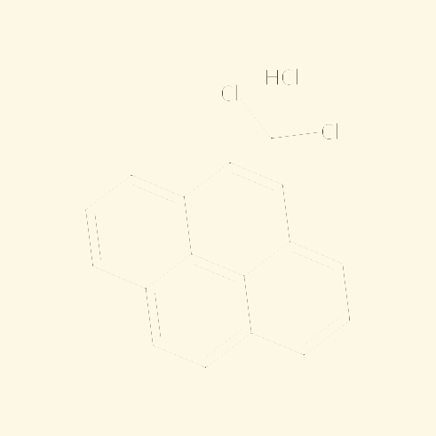 Cl.ClCCl.c1cc2ccc3cccc4ccc(c1)c2c34